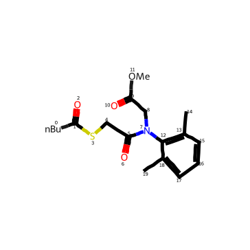 CCCCC(=O)SCC(=O)N(CC(=O)OC)c1c(C)cccc1C